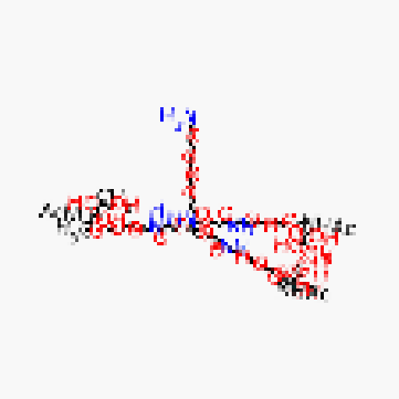 CC(=O)NCC(OCCOCCOCCNC(=O)CCOCC(COCCC(=O)NCCOCCOCCOC(C)C(NC(C)=O)C(O)C(O)C(C)CO)(COCCC(=O)NCCOCCOCCOC1OC(CO)C(O)C(O)C1NC(C)=O)NC(=O)CCOCCOCCOCCOCCN)OC(CO)C(O)CO